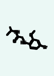 COc1cc(Br)ccc1NCC(=O)NC(C)C